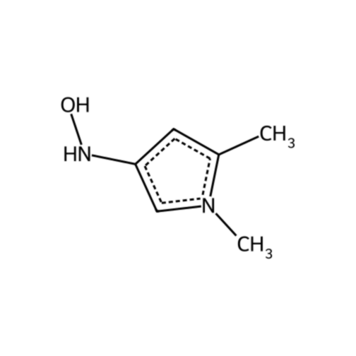 Cc1cc(NO)cn1C